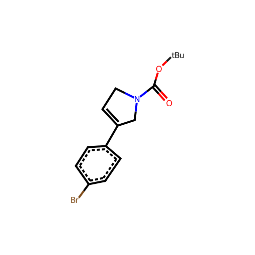 CC(C)(C)OC(=O)N1CC=C(c2ccc(Br)cc2)C1